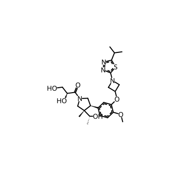 COc1ccc([C@@H]2CN(C(=O)[C@@H](O)CO)C[C@@]2(C)[C@@H](C)O)cc1OC1CN(c2nnc(C(C)C)s2)C1